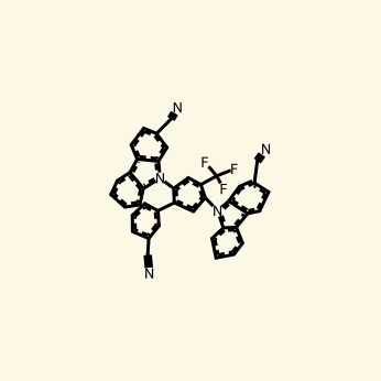 N#Cc1cccc(-c2cc(-n3c4ccccc4c4ccc(C#N)cc43)c(C(F)(F)F)cc2-n2c3ccccc3c3ccc(C#N)cc32)c1